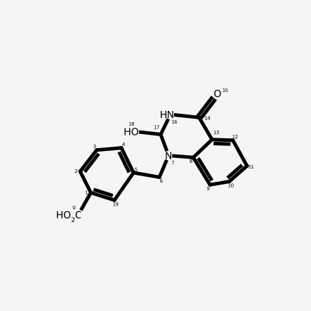 O=C(O)c1cccc(CN2c3ccccc3C(=O)NC2O)c1